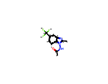 CC(=O)Nn1c(C)nc2cc(C(F)(F)F)ccc21